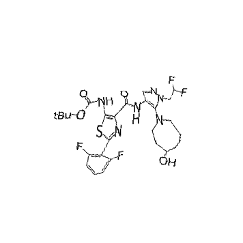 CC(C)(C)OC(=O)Nc1sc(-c2c(F)cccc2F)nc1C(=O)Nc1cnn(CC(F)F)c1N1CCCC(O)CC1